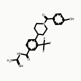 N=C(N)NC(=O)c1ccc(C2CCN(C(=O)c3ccc(O)cc3)CC2)c(C(F)(F)F)c1